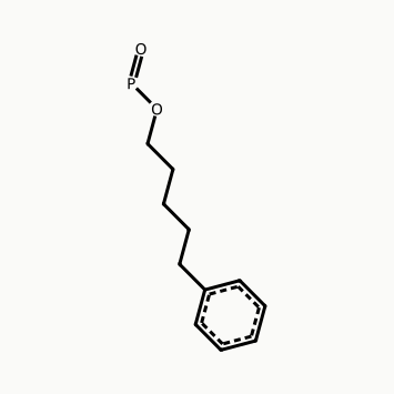 O=POCCCCCc1ccccc1